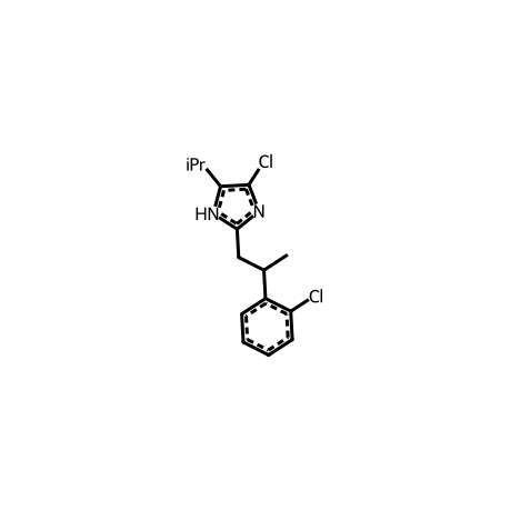 CC(C)c1[nH]c(CC(C)c2ccccc2Cl)nc1Cl